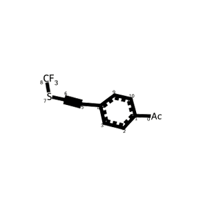 CC(=O)c1ccc(C#CSC(F)(F)F)cc1